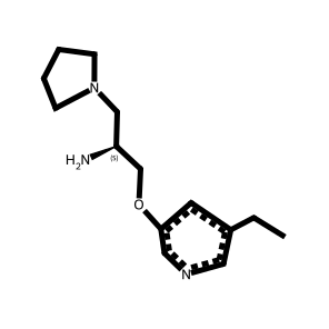 CCc1cncc(OC[C@@H](N)CN2CCCC2)c1